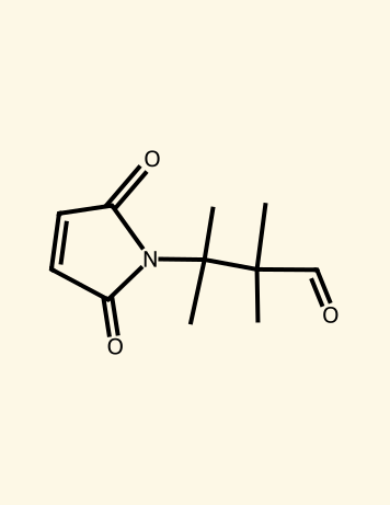 CC(C)(C=O)C(C)(C)N1C(=O)C=CC1=O